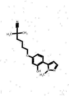 Cn1nccc1-c1ccc(OCCCCC(C)(C)C#N)cc1O